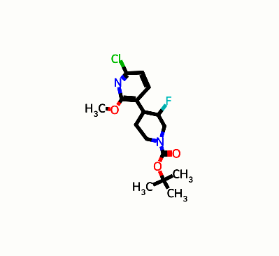 COc1nc(Cl)ccc1C1CCN(C(=O)OC(C)(C)C)CC1F